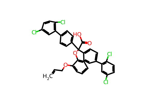 C=CCOc1ccccc1OC(C(=O)O)(c1ccc(-c2cc(Cl)ccc2Cl)cc1)c1ccc(-c2cc(Cl)ccc2Cl)cc1